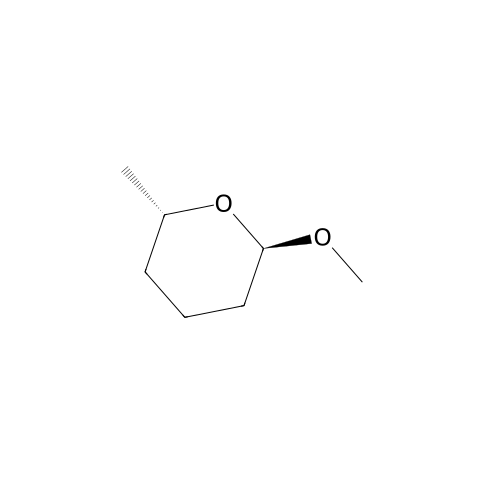 CO[C@H]1CCC[C@H](C)O1